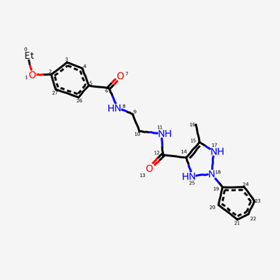 CCOc1ccc(C(=O)NCCNC(=O)C2=C(C)NN(c3ccccc3)N2)cc1